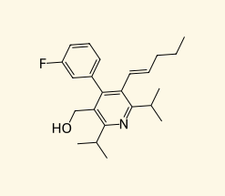 CCC/C=C/c1c(C(C)C)nc(C(C)C)c(CO)c1-c1cccc(F)c1